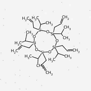 C=CC[Si]1(C(C)C)O[Si](CC=C)(C(C)C)O[Si](CC=C)(C(C)C)O[Si](CC=C)(C(C)C)O[Si](CC=C)(C(C)C)O1